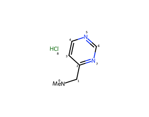 CNCc1ccncn1.Cl